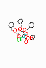 O=C(O)C(F)(F)C1(Cl)O[C@H](COCc2ccccc2)[C@@H](OCc2ccccc2)[C@H](OCc2ccccc2)[C@H]1OCc1ccccc1